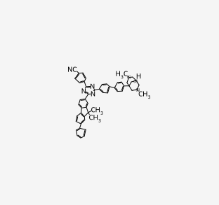 C[C@@H]1C[C@@H]2C[C@H](C)CC(c3ccc(-c4ccc(-c5nc(-c6ccc(C#N)cc6)nc(-c6ccc7c(c6)C(C)(C)c6cc(-c8ccccc8)ccc6-7)n5)cc4)cc3)(C1)C2